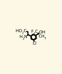 CC(O)(c1cc(Cl)cc(C(N)CC(=O)O)c1)C(F)(F)F